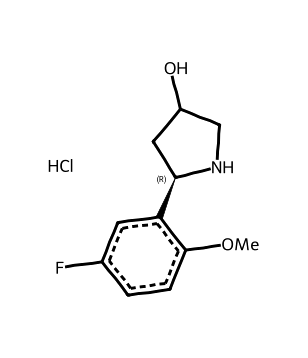 COc1ccc(F)cc1[C@H]1CC(O)CN1.Cl